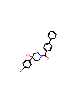 O=C(c1ccc(-c2ccccc2)cc1)N1CCC(O)(c2ccc(Cl)cc2)CC1